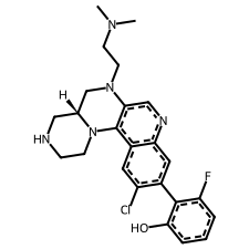 CN(C)CCN1C[C@H]2CNCCN2c2c1cnc1cc(-c3c(O)cccc3F)c(Cl)cc21